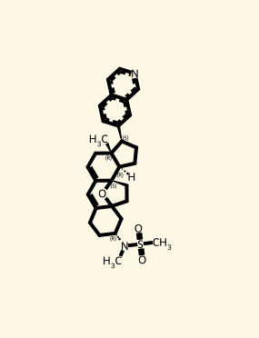 CN([C@@H]1CCC2=CC3=CC[C@]4(C)[C@@H](c5ccc6ccncc6c5)CC[C@H]4[C@@]34CCC2(C1)O4)S(C)(=O)=O